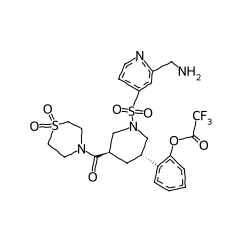 NCc1cc(S(=O)(=O)N2C[C@H](C(=O)N3CCS(=O)(=O)CC3)C[C@@H](c3ccccc3OC(=O)C(F)(F)F)C2)ccn1